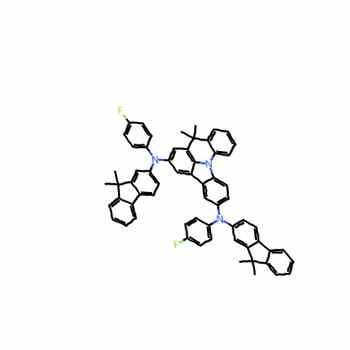 CC1(C)c2ccccc2-c2ccc(N(c3ccc(F)cc3)c3ccc4c(c3)c3cc(N(c5ccc(F)cc5)c5ccc6c(c5)C(C)(C)c5ccccc5-6)cc5c3n4-c3ccccc3C5(C)C)cc21